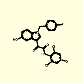 O=C(Nc1c(Cl)c[n+]([O-])cc1Cl)C(=O)c1cn(Cc2ccc(F)cc2)c2ccc(O)cc12